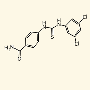 NC(=O)c1ccc(NC(=S)Nc2cc(Cl)cc(Cl)c2)cc1